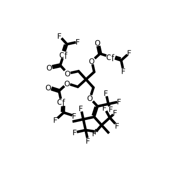 CC(F)(C(=C(OCC(CO[C](=O)[Cf]=[C](F)F)(CO[C](=O)[Cf]=[C](F)F)CO[C](=O)[Cf]=[C](F)F)C(F)(F)F)C(C)(F)C(F)(F)F)C(F)(F)F